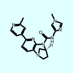 Cc1cc(-c2ccc3c(n2)N(C(=O)Nc2cn(C)cn2)[C@H]2CCN3C2)ccn1